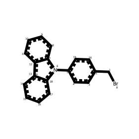 BrCc1ccc(-n2c3ccccc3c3ccccc32)cc1